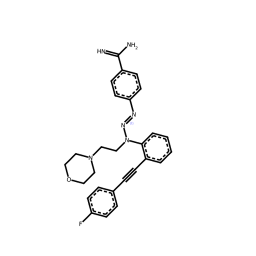 N=C(N)c1ccc(/N=N/N(CCN2CCOCC2)c2ccccc2C#Cc2ccc(F)cc2)cc1